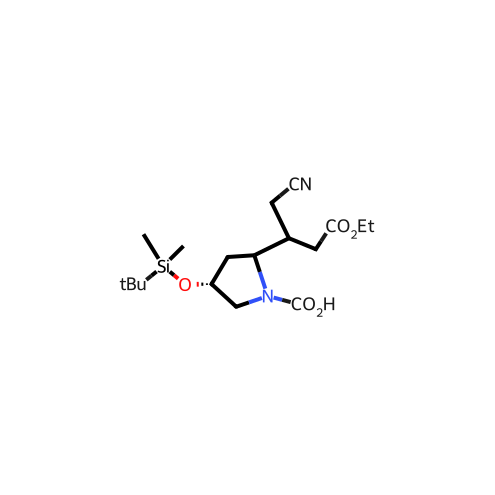 CCOC(=O)CC(CC#N)C1C[C@@H](O[Si](C)(C)C(C)(C)C)CN1C(=O)O